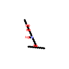 CCCCCCCCC(CCCCCCCC)OC(=O)CCCCCCCN(CCO)CCCCCCOC(=O)CCC(=O)OCCCCCC